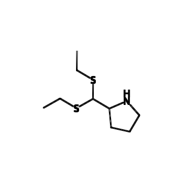 CCSC(SCC)C1CCCN1